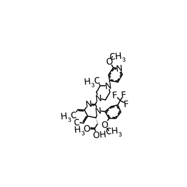 C/C=C1\C(=C/C)N=C(N2CCN(c3ccnc(OC)c3)[C@H](C)C2)N(c2cc(C(F)(F)F)ccc2OC)[C@@H]1CC(=O)O